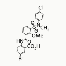 COc1c(C(=O)Nc2ccc(Br)cc2C(=O)O)cccc1S(=O)(=O)N(C)c1ccc(Cl)cc1